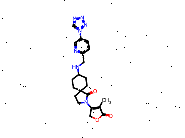 CC1=C(N2CCC3(CCC(NCc4ccc(-n5cnnn5)cn4)CC3)C2=O)COC1=O